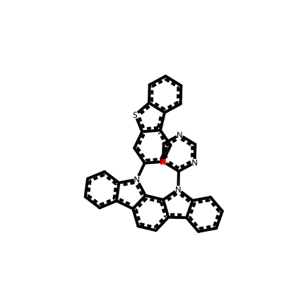 c1ccc2c(c1)sc1cc(-n3c4ccccc4c4ccc5c6ccccc6n(-c6ncncn6)c5c43)ccc12